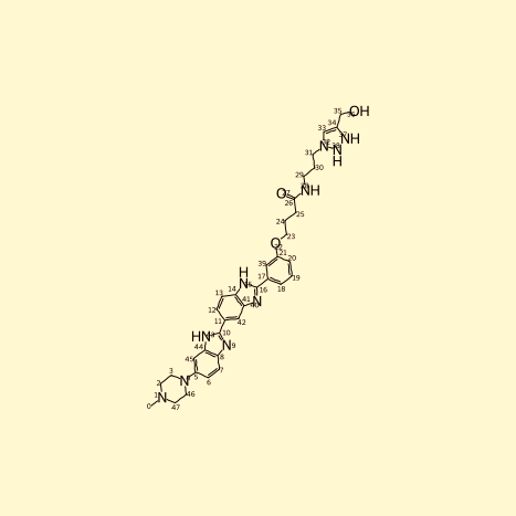 CN1CCN(c2ccc3nc(-c4ccc5[nH]c(-c6cccc(OCCCC(=O)NCCCN7C=C(CO)NN7)c6)nc5c4)[nH]c3c2)CC1